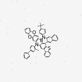 Cc1cc(-c2ccccc2)ccc1N1c2cc3c(cc2B2c4c1cc1c(sc5ccccc51)c4-c1cc4ccccc4cc1N2c1ccc(C(C)(C)C)cc1)Oc1ccccc1O3